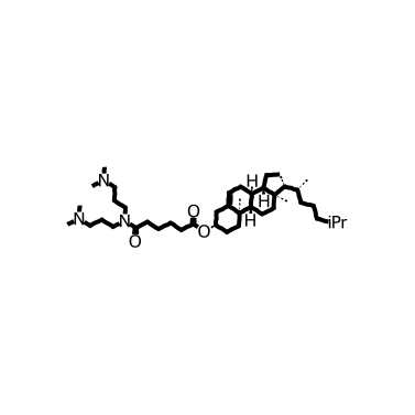 CC(C)CCC[C@@H](C)[C@H]1CC[C@H]2[C@@H]3CC=C4C[C@@H](OC(=O)CCCCC(=O)N(CCCN(C)C)CCCN(C)C)CC[C@]4(C)[C@H]3CC[C@]12C